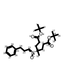 CC(C)(C)OC(=O)CCC(C)(CCC(=O)OC(C)(C)C)/[N+]([O-])=C/CCc1ccccc1